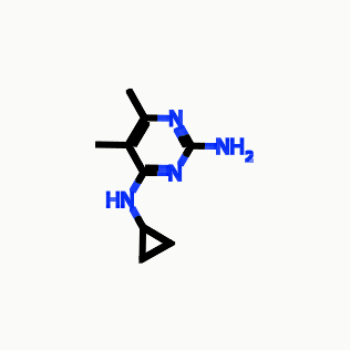 Cc1nc(N)nc(NC2CC2)c1C